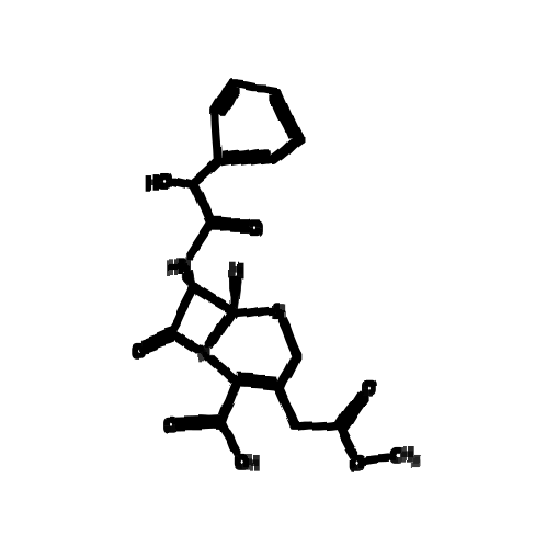 COC(=O)CC1=C(C(=O)O)N2C(=O)[C@@H](NC(=O)C(O)c3ccccc3)[C@@H]2SC1